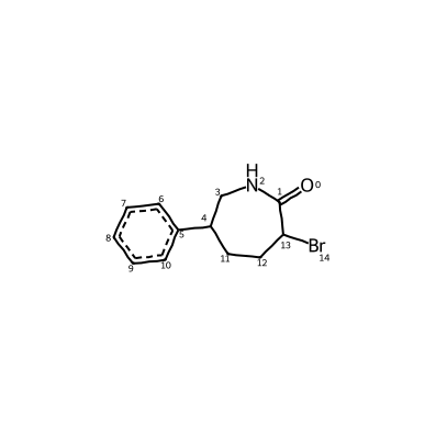 O=C1NCC(c2ccccc2)CCC1Br